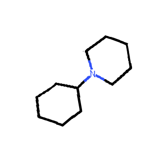 [CH]1CCCCN1C1CCCCC1